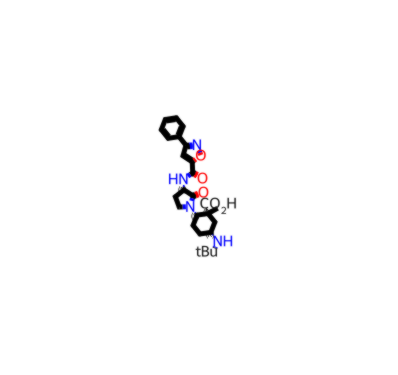 CC(C)(C)N[C@@H]1CC[C@H](N2CC[C@H](NC(=O)c3cc(-c4ccccc4)no3)C2=O)[C@](C)(C(=O)O)C1